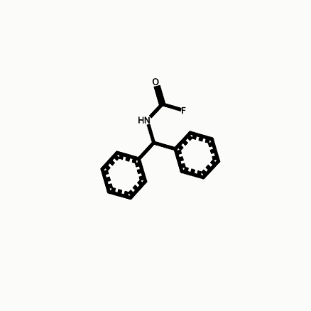 O=C(F)NC(c1ccccc1)c1ccccc1